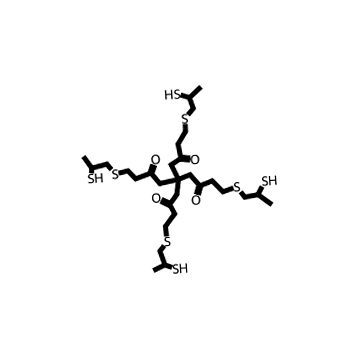 CC(S)CSCCC(=O)CC(CC(=O)CCSCC(C)S)(CC(=O)CCSCC(C)S)CC(=O)CCSCC(C)S